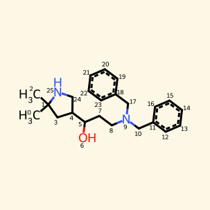 CC1(C)CC(C(O)CCN(Cc2ccccc2)Cc2ccccc2)CN1